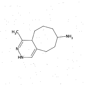 CC1=NNC=C2CCC(N)CCCC21